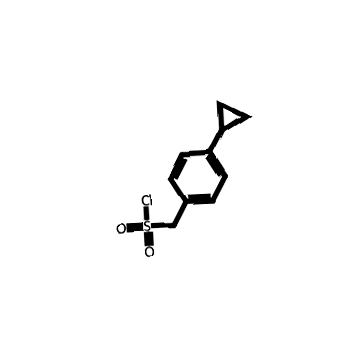 O=S(=O)(Cl)Cc1ccc(C2CC2)cc1